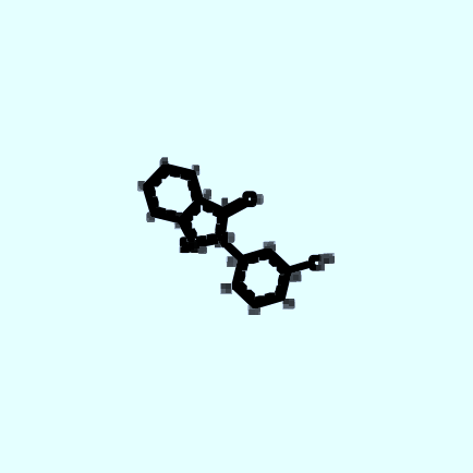 O=c1c2ccccc2[se]n1-c1cccc(Cl)c1